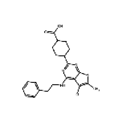 Cc1sc2nc(C3CCC(C(=O)O)CC3)nc(NCCc3ccccc3)c2c1Cl